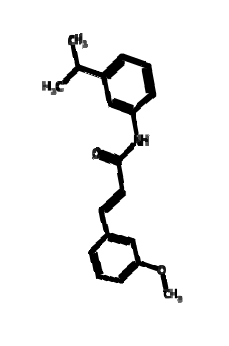 COc1cccc(C=CC(=O)Nc2cccc(C(C)C)c2)c1